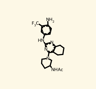 CC(=O)NC1CCCN(c2nc(Nc3ccc(N)c(C(F)(F)F)c3)nc3c2CCCC3)C1